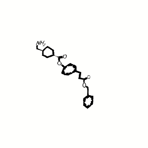 NC[C@H]1CC[C@H](C(=O)Oc2ccc(CCC(=O)OCc3ccccc3)cc2)CC1